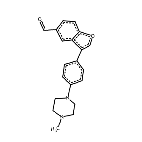 CN1CCN(c2ccc(-c3coc4ccc(C=O)cc34)cc2)CC1